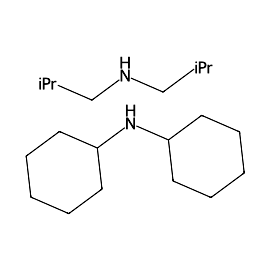 C1CCC(NC2CCCCC2)CC1.CC(C)CNCC(C)C